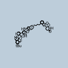 Cn1cc(-c2ccnc(-n3ncc4cc(C(C)(C)C)cc(F)c4c3=O)c2CO)cc(Nc2cc3n(n2)CCN(CCCCc2cccc4c2CN(C2CCC(=O)NC2=O)C4=O)C3)c1=O